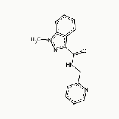 Cn1nc(C(=O)NCc2ccccn2)c2ccccc21